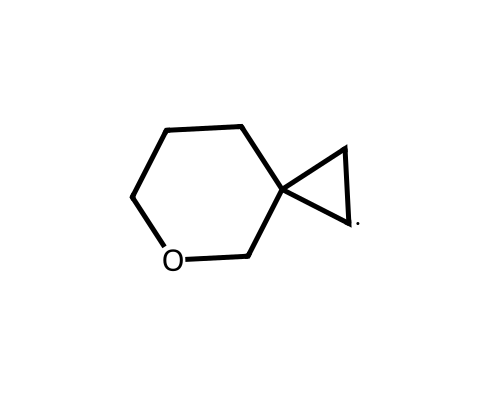 [CH]1CC12CCCOC2